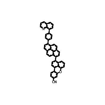 N#Cc1ccc2c(c1)Oc1cccc3c(-c4ccc5ccc6c(-c7ccc(-c8cccc9cccnc89)cc7)ccc7ccc4c5c76)ccc-2c13